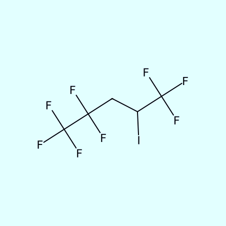 FC(F)(F)C(I)CC(F)(F)C(F)(F)F